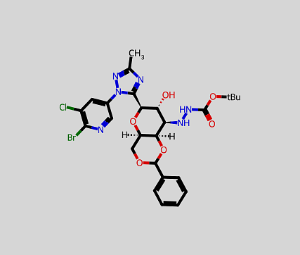 Cc1nc([C@@H]2O[C@@H]3COC(c4ccccc4)O[C@@H]3[C@H](NNC(=O)OC(C)(C)C)[C@H]2O)n(-c2cnc(Br)c(Cl)c2)n1